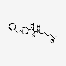 C[S+]([O-])CCCCNC(=S)NC1CCN(Cc2ccccc2)CC1